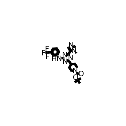 Cn1cncc1-c1nc(Nc2cccc(C(F)(F)F)c2)nc(C2CCN(C(=O)OC(C)(C)C)CC2)n1